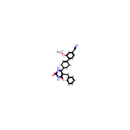 COc1cc(C#N)ccc1C1=CCC(c2[nH]c(=O)[nH]c(=O)c2Cc2ccccc2)CC1